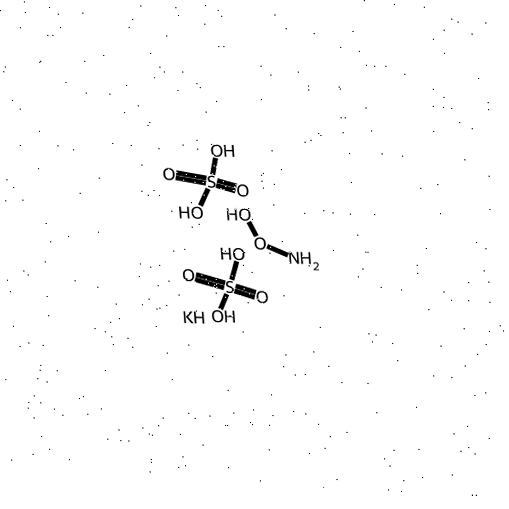 NOO.O=S(=O)(O)O.O=S(=O)(O)O.[KH]